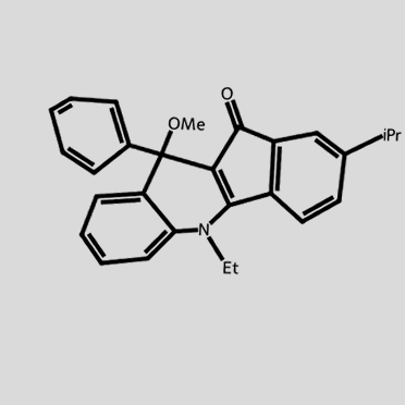 CCN1C2=C(C(=O)c3cc(C(C)C)ccc32)C(OC)(c2ccccc2)c2ccccc21